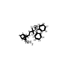 CC1(C)C2CC1C(CCC(C)(C)[Si](O)(c1ccccc1)c1ccccc1)C2N